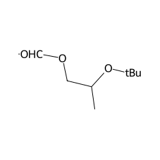 CC(CO[C]=O)OC(C)(C)C